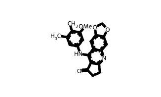 COc1cc(Nc2c3c(nc4cc5c(cc24)OCO5)CCC3=O)cc(C)c1C